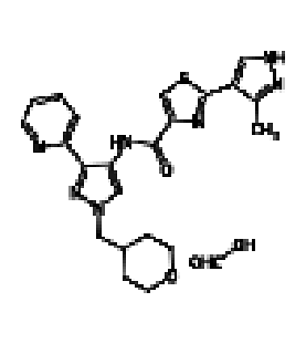 Cc1n[nH]cc1-c1nc(C(=O)Nc2cn(CC3CCOCC3)nc2-c2ccccn2)cs1.O=CO